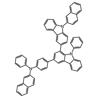 c1ccc(N(c2ccc(-c3cc(-c4ccc5c(c4)c4ccccc4n5-c4ccc5ccccc5c4)c4c(c3)c3ccccc3n4-c3ccccc3)cc2)c2ccc3ccccc3c2)cc1